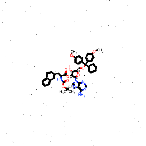 COc1ccc(C(OC[C@H]2O[C@@H](n3cnc4c(N)ncnc43)[C@H](OC(=O)C(Cc3ccc4ccccc4c3)NC(=O)OC(C)(C)C)[C@@H]2O)(c2ccccc2)c2ccc(OC)cc2)cc1